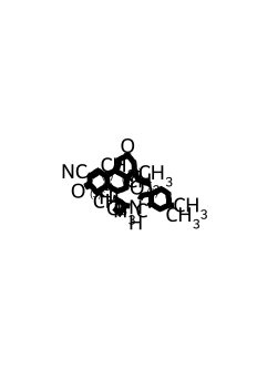 CC1CC(C)(C)CC[C@@]1(CC[C@]1(C)CC(=O)C=C2[C@@]3(C)C=C(C#N)C(=O)[C@@H](C)[C@@H]3CC[C@]21C)C(=O)NC1COC1